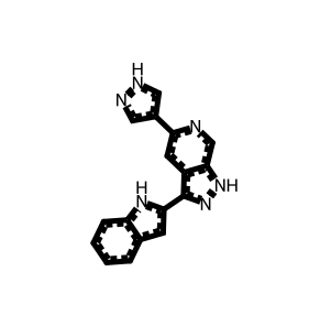 c1ccc2[nH]c(-c3n[nH]c4cnc(-c5cn[nH]c5)cc34)cc2c1